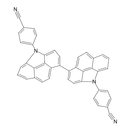 N#Cc1ccc(-n2c3cccc4ccc5c(-c6ccc7c8c6ccc6cccc(c68)n7-c6ccc(C#N)cc6)ccc2c5c43)cc1